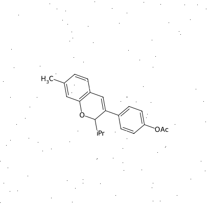 CC(=O)Oc1ccc(C2=Cc3ccc(C)cc3OC2C(C)C)cc1